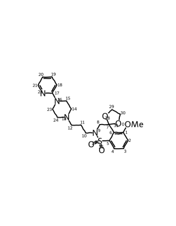 COc1cccc2c1C1(CN(CCCN3CCN(c4ccccn4)CC3)S2(=O)=O)OCCO1